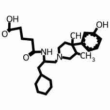 CC1CN(CC(CC2CCCCC2)NC(=O)CCCC(=O)O)CCC1(C)c1cccc(O)c1